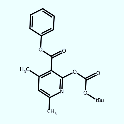 Cc1cc(C)c(C(=O)Oc2ccccc2)c(OC(=O)OC(C)(C)C)n1